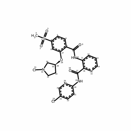 CS(=O)(=O)c1ccc(C(=O)Nc2cccnc2C(=O)Nc2ccc(Cl)cn2)c(O[C@H]2CCN(Cl)C2)c1